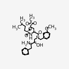 COc1cccc(CN(C[C@@H](O)[C@@H](N)Cc2ccccc2)C(=O)[C@H](CCS(C)(=O)=O)NS(=O)(=O)CCC(C)C)c1